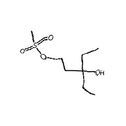 CCC(O)(CC)CCOS(C)(=O)=O